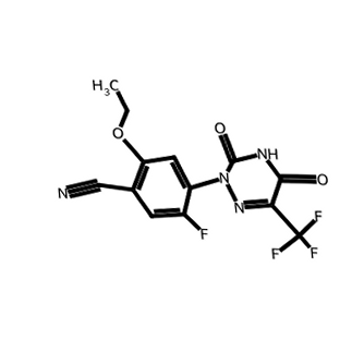 CCOc1cc(-n2nc(C(F)(F)F)c(=O)[nH]c2=O)c(F)cc1C#N